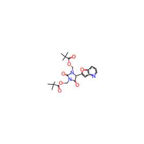 CC(C)(C)C(=O)OCN1C(=O)C(c2cc3ncccc3o2)N(COC(=O)C(C)(C)C)C1=O